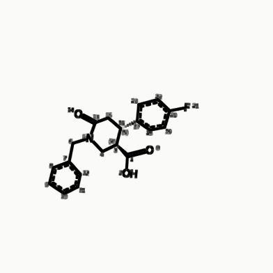 O=C(O)[C@H]1CN(Cc2ccccc2)C(=O)C[C@@H]1c1ccc(F)cc1